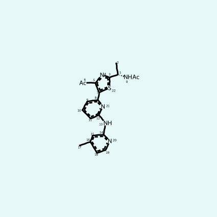 CC(=O)N[C@@H](C)c1nc(C(C)=O)c(-c2cccc(Nc3cc(C)ccn3)n2)s1